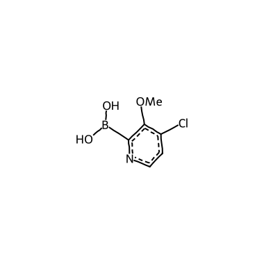 COc1c(Cl)ccnc1B(O)O